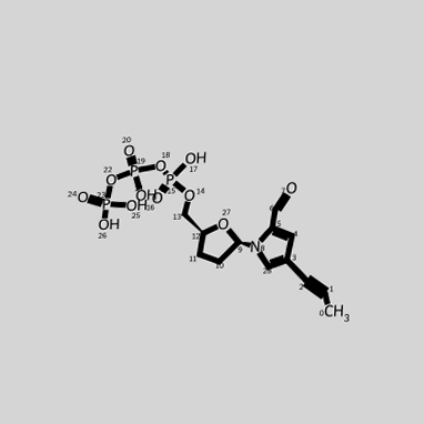 CC#Cc1cc(C=O)n([C@H]2CC[C@@H](COP(=O)(O)OP(=O)(O)OP(=O)(O)O)O2)c1